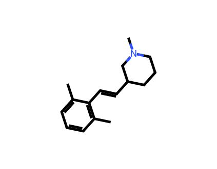 Cc1cccc(C)c1/C=C/C1CCCN(C)C1